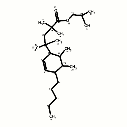 CCCCCC1C=CC(C(C)(C)CC(C)(C)C(=O)OCC(C)O)C(C)C1C